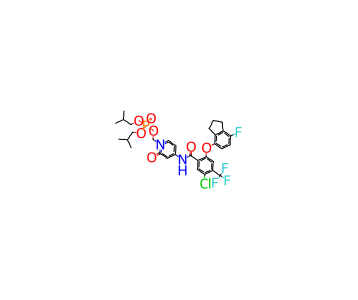 CC(C)COP(=O)(OCC(C)C)OCn1ccc(NC(=O)c2cc(Cl)c(C(F)(F)F)cc2Oc2ccc(F)c3c2CCC3)cc1=O